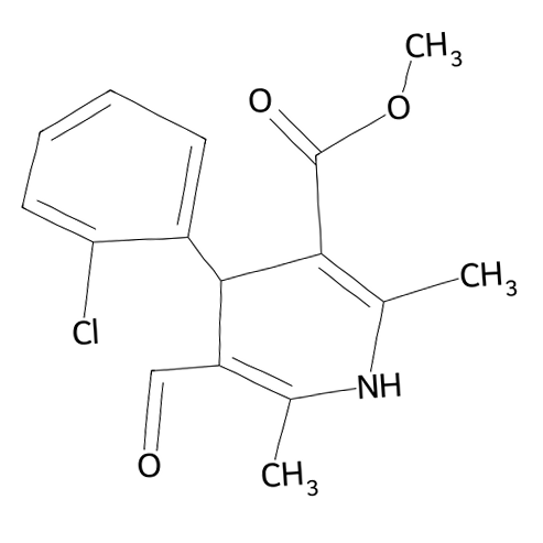 COC(=O)C1=C(C)NC(C)=C(C=O)C1c1ccccc1Cl